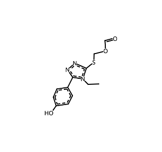 CCn1c(SCOC=O)nnc1-c1ccc(O)cc1